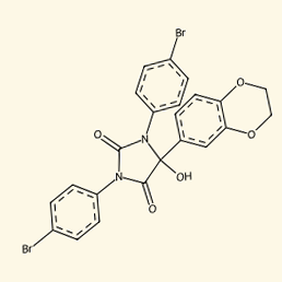 O=C1N(c2ccc(Br)cc2)C(=O)C(O)(c2ccc3c(c2)OCCO3)N1c1ccc(Br)cc1